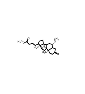 CC[C@H]1CC2C3CCC(CCCC(=O)OC)C3(C)CC[C@]2(N)C2(C)CCC(=O)CC12